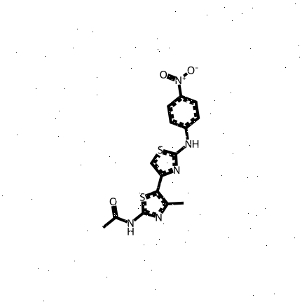 CC(=O)Nc1nc(C)c(-c2csc(Nc3ccc([N+](=O)[O-])cc3)n2)s1